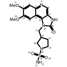 COc1cc2ncc3[nH]c(=O)n(CC4CCN(S(N)(=O)=O)C4)c3c2cc1OC